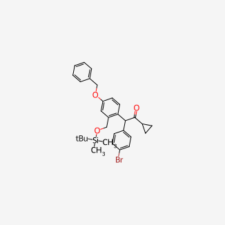 CC(C)(C)[Si](C)(C)OCc1cc(OCc2ccccc2)ccc1C(C(=O)C1CC1)c1ccc(Br)cc1